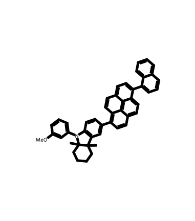 COc1cccc(N2c3ccc(-c4ccc5ccc6c(-c7cccc8ccccc78)ccc7ccc4c5c76)cc3C3(C)CCCCC23C)c1